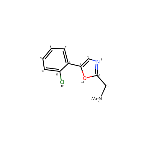 CNCc1ncc(-c2ccccc2Cl)o1